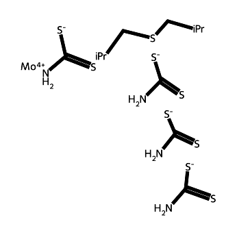 CC(C)CSCC(C)C.NC(=S)[S-].NC(=S)[S-].NC(=S)[S-].NC(=S)[S-].[Mo+4]